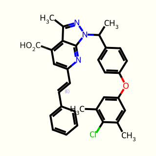 Cc1cc(Oc2ccc(C(C)n3nc(C)c4c(C(=O)O)cc(/C=C/c5ccccc5)nc43)cc2)cc(C)c1Cl